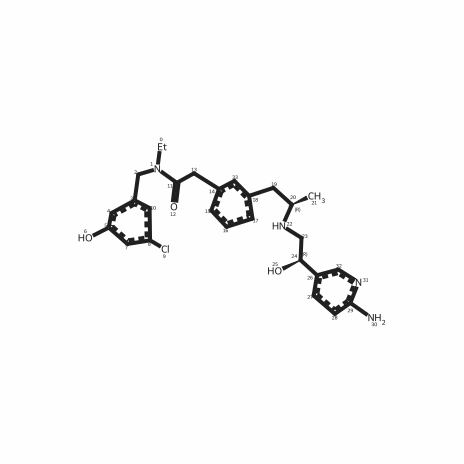 CCN(Cc1cc(O)cc(Cl)c1)C(=O)Cc1cccc(C[C@@H](C)NC[C@H](O)c2ccc(N)nc2)c1